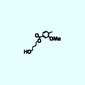 COc1cc(C(=O)OCCCCO)ccc1C